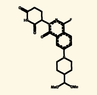 COC(OC)C1CCN(c2ccc3c(F)nn(C4CCC(=O)NC4=O)c(=O)c3c2)CC1